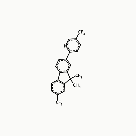 CC1(C(F)(F)F)c2cc(-c3ccc(C(F)(F)F)cn3)ccc2-c2ccc(C(F)(F)F)cc21